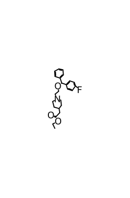 CCOC(=O)CC1CCN(CCOC(c2ccccc2)c2ccc(F)cc2)CC1